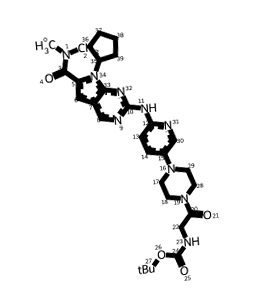 CN(C)C(=O)c1cc2cnc(Nc3ccc(N4CCN(C(=O)CNC(=O)OC(C)(C)C)CC4)cn3)nc2n1C1CCCC1